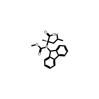 COC(=O)N(C1c2ccccc2-c2ccccc21)[C@@](C)(CC(C)C)C(=O)O